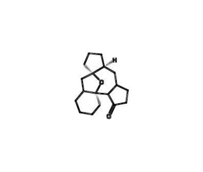 O=C1CCC2C[C@@H]3CCC[C@]34CC3CCCC[C@]3(O4)C12